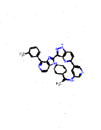 C=C(Nc1cncc(-c2ccc3[nH]nc(-c4nc5c(-c6cccc(C)c6)nccc5[nH]4)c3n2)c1)C1CCCCC1